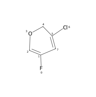 FC1=COCC(Cl)=C1